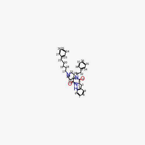 O=C1C(Cc2ccccc2)NC(=O)C2(CCN(CCCCCc3ccccc3)CC2)N1CCc1ccccc1